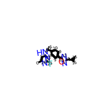 Cc1cc(N[C@@H](C)c2ccc(-c3nc(C4CC4)no3)cc2)nc(F)n1